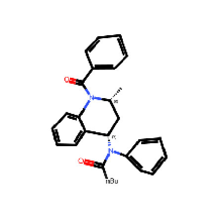 CCCCC(=O)N(c1ccccc1)[C@H]1C[C@@H](C)N(C(=O)c2ccccc2)c2ccccc21